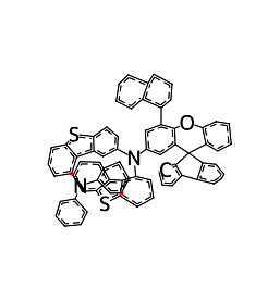 c1ccc(N(c2ccccc2)c2cccc3sc4ccc(N(c5cc(-c6cccc7ccccc67)c6c(c5)C5(c7ccccc7O6)c6ccccc6-c6ccccc65)c5cccc6sc7ccccc7c56)cc4c23)cc1